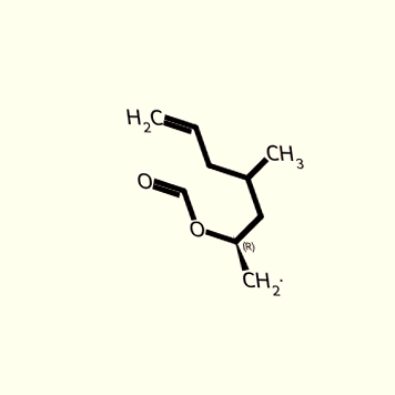 [CH2][C@H](CC(C)CC=C)OC=O